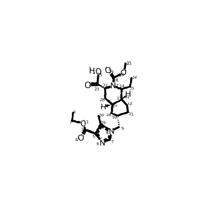 CCOC(=O)c1ncn(C[C@H]2CC[C@H]3C(CC)N(C(=O)OC)[C@H](C(=O)O)C[C@H]3C2)c1C